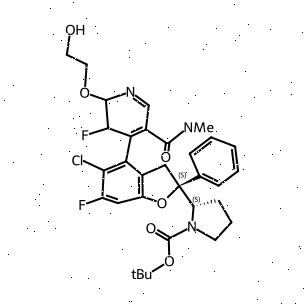 CNC(=O)C1=C(c2c(Cl)c(F)cc3c2C[C@](c2ccccc2)([C@@H]2CCCN2C(=O)OC(C)(C)C)O3)C(F)C(OCCO)N=C1